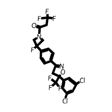 O=C(CC(F)(F)F)N1CC(F)(c2ccc(C3=NOC(c4cc(Cl)cc(Cl)c4)(C(F)(F)F)C3)cc2)C1